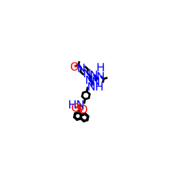 CC(=O)N1CCN(c2nc(NCC3CCC(CNS(=O)(=O)c4cccc5ccccc45)CC3)nc(NC(C)C)n2)CC1